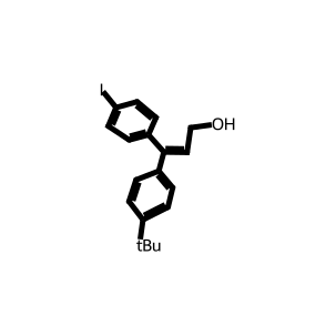 CC(C)(C)c1ccc(C(=CCO)c2ccc(I)cc2)cc1